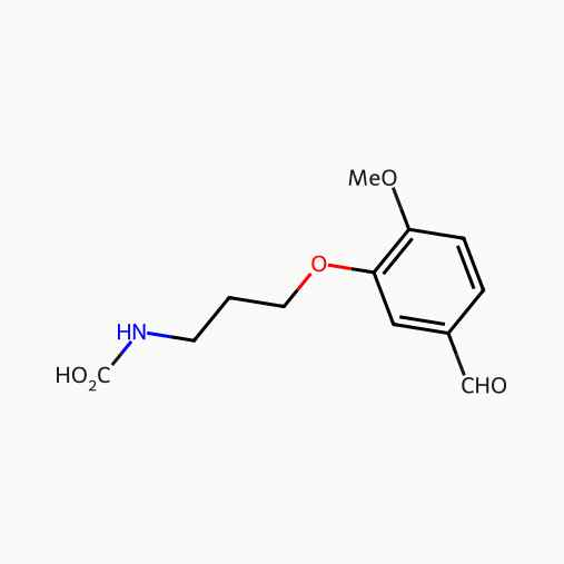 COc1ccc(C=O)cc1OCCCNC(=O)O